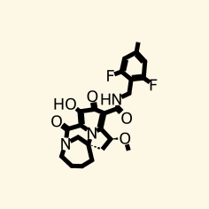 CO[C@@H]1C[C@]23CCCCN(C2)C(=O)c2c(O)c(=O)c(C(=O)NCc4c(F)cc(C)cc4F)c1n23